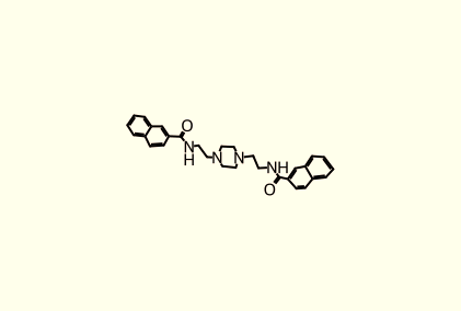 O=C(NCCN1CCN(CCNC(=O)c2ccc3ccccc3c2)CC1)c1ccc2ccccc2c1